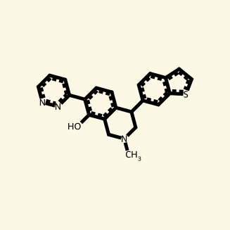 CN1Cc2c(ccc(-c3cccnn3)c2O)C(c2ccc3ccsc3c2)C1